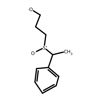 CC(c1ccccc1)[S+]([O-])CCC[O]